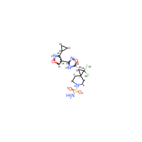 NS(=O)(=O)N1CCC2(CC1)[C@H](c1nc(-c3conc3C3CC3)no1)C2(F)F